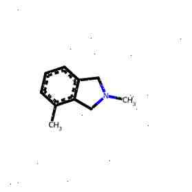 Cc1cccc2c1CN(C)C2